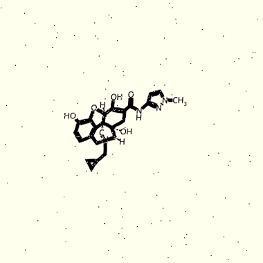 Cn1ccc(NC(=O)C2=C(O)[C@@H]3Oc4c(O)ccc5c4[C@@]34CCN(CC3CC3)[C@H](C5)[C@]4(O)C2)n1